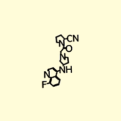 N#C[C@@H]1CCCN1C(=O)CN1CC[C@@H](Nc2ccnc3c(F)cccc23)C1